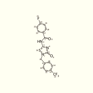 O=C(Nc1nc(=O)n(Cc2ccc(C(F)(F)F)cc2)s1)c1ccc(F)cc1